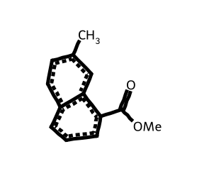 COC(=O)c1cccc2ccc(C)cc12